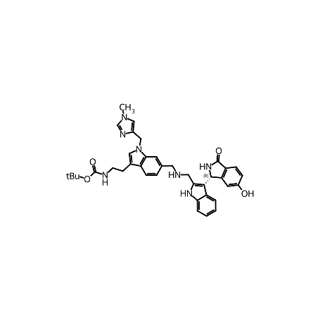 Cn1cnc(Cn2cc(CCNC(=O)OC(C)(C)C)c3ccc(CNCc4[nH]c5ccccc5c4[C@@H]4NC(=O)c5ccc(O)cc54)cc32)c1